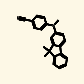 CN(c1ccc(C#N)cc1)c1ccc2c(c1)C(C)(C)c1ccccc1-2